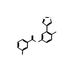 Cc1ccc(NC(=O)c2cccc(C(F)(F)F)c2)cc1-c1cn[nH]c1